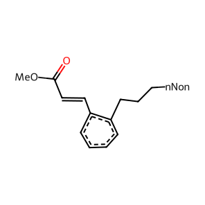 CCCCCCCCCCCCc1ccccc1/C=C/C(=O)OC